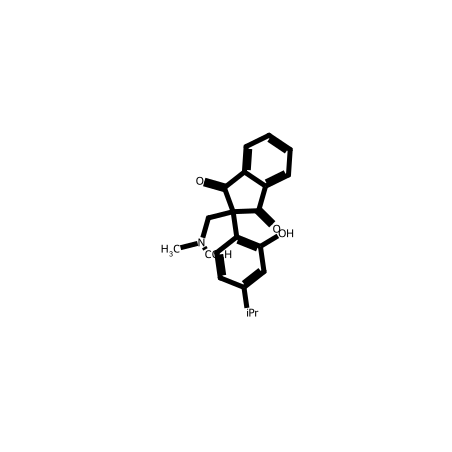 CC(C)c1ccc(C2(CN(C)C(=O)O)C(=O)c3ccccc3C2=O)c(O)c1